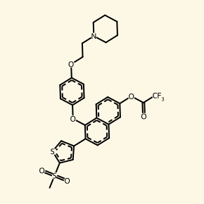 CS(=O)(=O)c1cc(-c2ccc3cc(OC(=O)C(F)(F)F)ccc3c2Oc2ccc(OCCN3CCCCC3)cc2)cs1